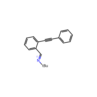 CC(C)(C)/N=C/c1ccccc1C#Cc1ccccc1